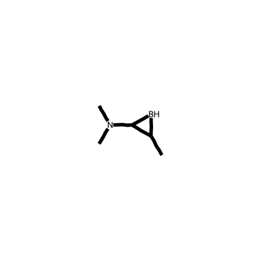 CC1BC1N(C)C